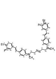 CCN1CC=C(/C=C/c2ccc(N(C)CCSSCCN(C)c3ccc(/C=C/c4cc[n+](CC)c(F)c4)cc3)cc2)C=C1F